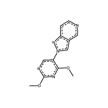 COc1ncc(-n2cc3cnccc3n2)c(OC)n1